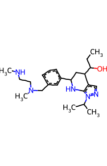 CCC(O)C1CC(c2cccc(CN(C)CCNC)c2)Nc2c1cnn2C(C)C